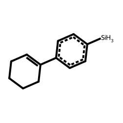 [SiH3]c1ccc(C2=CCCCC2)cc1